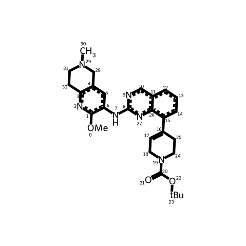 COc1nc2c(cc1Nc1ncc3cccc(C4=CCN(C(=O)OC(C)(C)C)CC4)c3n1)CN(C)CC2